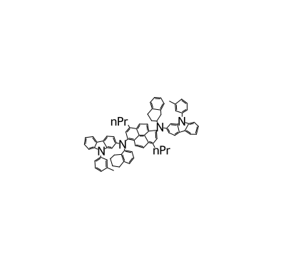 CCCc1cc(N(c2ccc3c4ccccc4n(-c4cccc(C)c4)c3c2)c2cccc3c2CCCC3)c2ccc3c(CCC)cc(N(c4ccc5c6ccccc6n(-c6cccc(C)c6)c5c4)C4CCc5ccccc5C4)c4ccc1c2c34